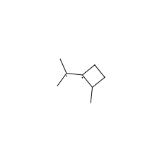 C[C](C)[C]1CCC1C